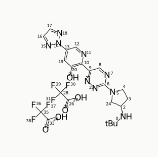 CC(C)(C)NC1CCN(c2ncc(-c3ncc(-n4nccn4)cc3O)nn2)C1.O=C(O)C(F)(F)F.O=C(O)C(F)(F)F